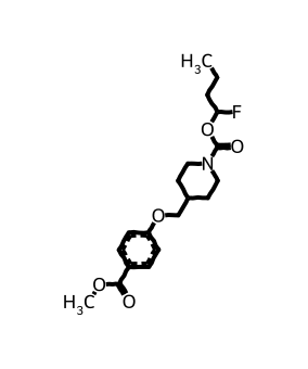 CCCC(F)OC(=O)N1CCC(COc2ccc(C(=O)OC)cc2)CC1